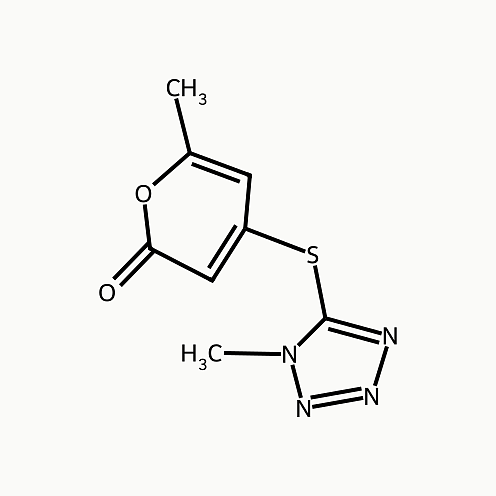 Cc1cc(Sc2nnnn2C)cc(=O)o1